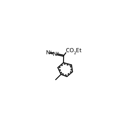 CCOC(=O)C(=[N+]=[N-])c1cccc(C)c1